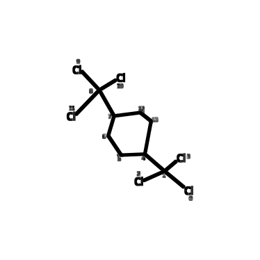 ClC(Cl)(Cl)C1[CH]CC(C(Cl)(Cl)Cl)[CH]C1